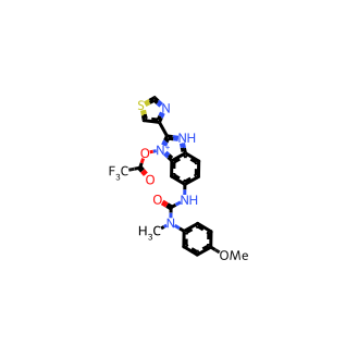 COc1ccc(N(C)C(=O)Nc2ccc3[nH]c(-c4cscn4)[n+](OC(=O)C(F)(F)F)c3c2)cc1